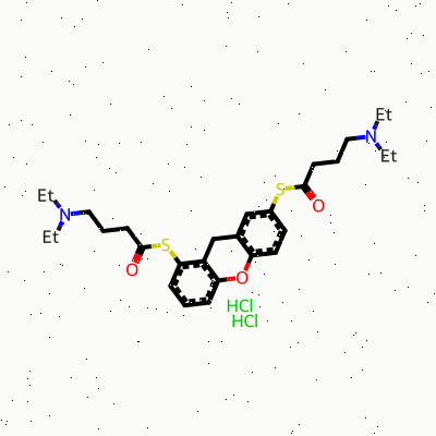 CCN(CC)CCCC(=O)Sc1ccc2c(c1)Cc1c(cccc1SC(=O)CCCN(CC)CC)O2.Cl.Cl